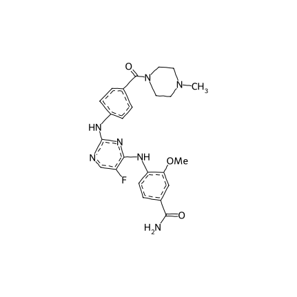 COc1cc(C(N)=O)ccc1Nc1nc(Nc2ccc(C(=O)N3CCN(C)CC3)cc2)ncc1F